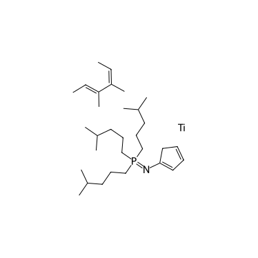 CC(C)CCCP(CCCC(C)C)(CCCC(C)C)=NC1=CC=CC1.CC=C(C)C(C)=CC.[Ti]